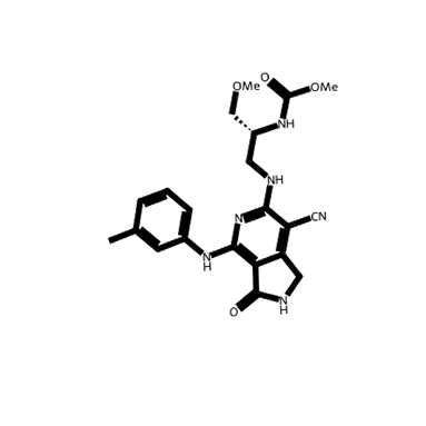 COC[C@@H](CNc1nc(Nc2cccc(C)c2)c2c(c1C#N)CNC2=O)NC(=O)OC